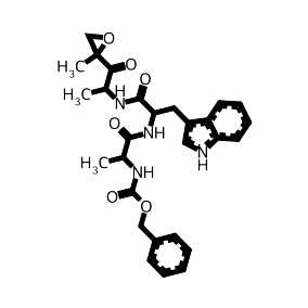 CC(NC(=O)OCc1ccccc1)C(=O)NC(Cc1c[nH]c2ccccc12)C(=O)NC(C)C(=O)C1(C)CO1